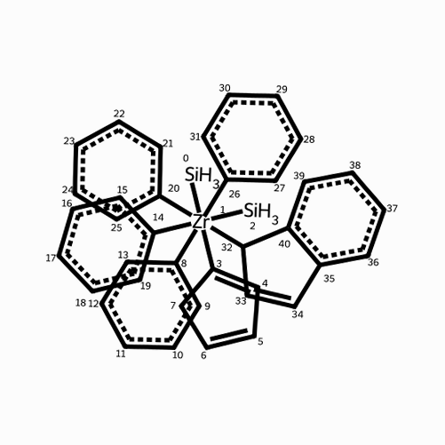 [SiH3][Zr]([SiH3])([C]1=CC=CC1)([c]1ccccc1)([c]1ccccc1)([c]1ccccc1)([c]1ccccc1)[CH]1C=Cc2ccccc21